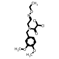 CCON=CCN(Cc1ccc(OC)c(OC)c1)C(=O)C(Cl)Cl